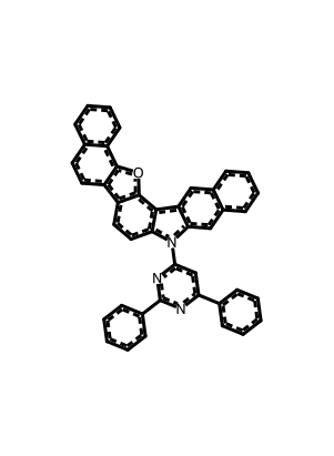 c1ccc(-c2cc(-n3c4cc5ccccc5cc4c4c5oc6c7ccccc7ccc6c5ccc43)nc(-c3ccccc3)n2)cc1